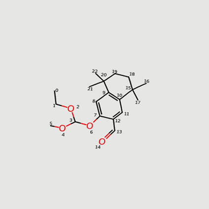 CCOC(OC)Oc1cc2c(cc1C=O)C(C)(C)CCC2(C)C